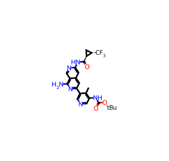 Cc1c(NC(=O)OC(C)(C)C)cncc1-c1cc2cc(NC(=O)[C@H]3C[C@@H]3C(F)(F)F)ncc2c(N)n1